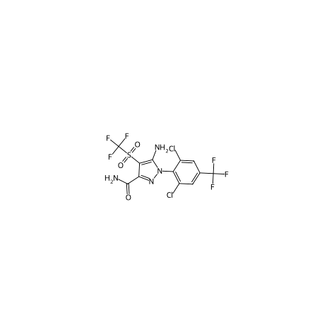 NC(=O)c1nn(-c2c(Cl)cc(C(F)(F)F)cc2Cl)c(N)c1S(=O)(=O)C(F)(F)F